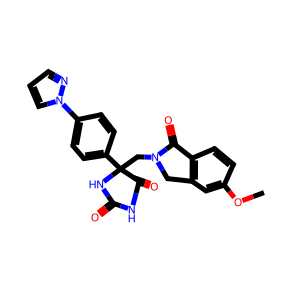 COc1ccc2c(c1)CN(CC1(c3ccc(-n4cccn4)cc3)NC(=O)NC1=O)C2=O